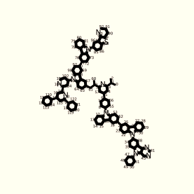 CC(C)c1cc(-c2ccc(-n3c4ccccc4c4cc(-c5ccc6c(c5)c5ccccc5n6-c5ccc6c(c5)c5ncncc5n6-c5ccccc5)ccc43)cc2)cc(C(C)Cc2ccc3c(c2)c2cc(-c4ccc5c(c4)c4ccccc4n5-c4ccc5sc6cccnc6c5c4)ccc2n3-c2ccnc(-c3cc(-c4ccccc4)cc(-c4ccccc4)n3)c2)n1